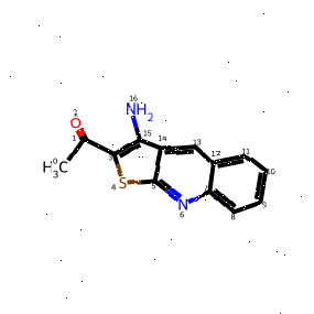 CC(=O)c1sc2nc3ccccc3cc2c1N